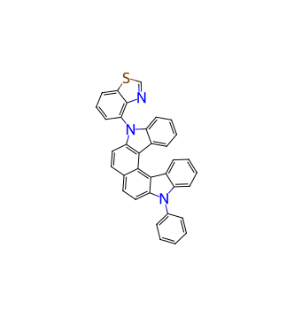 c1ccc(-n2c3ccccc3c3c4c(ccc32)ccc2c4c3ccccc3n2-c2cccc3scnc23)cc1